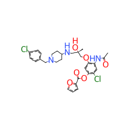 CC(=O)Nc1cc(Cl)c(OC(=O)c2ccco2)cc1OC[C@@](C)(O)CNC1CCN(Cc2ccc(Cl)cc2)CC1